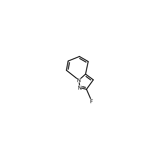 Fc1cc2ccccn2n1